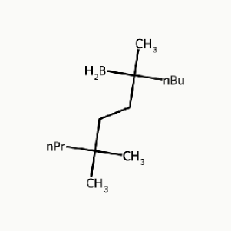 BC(C)(CCCC)CCC(C)(C)CCC